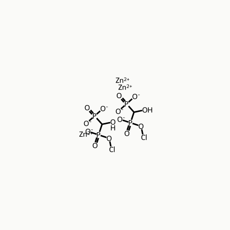 O=P([O-])([O-])C(O)P(=O)([O-])OCl.O=P([O-])([O-])C(O)P(=O)([O-])OCl.[Zn+2].[Zn+2].[Zn+2]